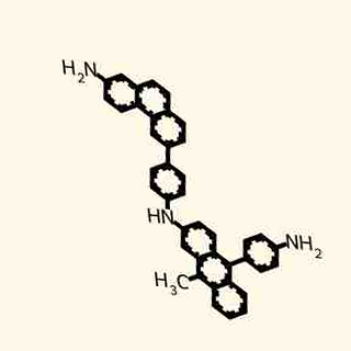 Cc1c2ccccc2c(-c2ccc(N)cc2)c2ccc(Nc3ccc(-c4ccc5ccc6cc(N)ccc6c5c4)cc3)cc12